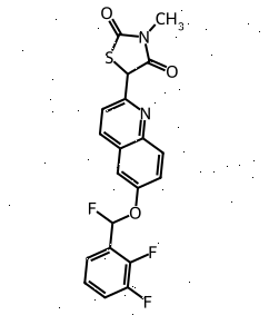 CN1C(=O)SC(c2ccc3cc(OC(F)c4cccc(F)c4F)ccc3n2)C1=O